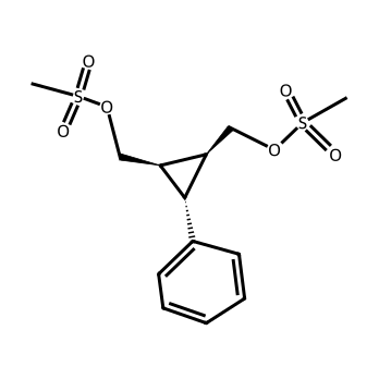 CS(=O)(=O)OC[C@@H]1[C@H](COS(C)(=O)=O)[C@H]1c1ccccc1